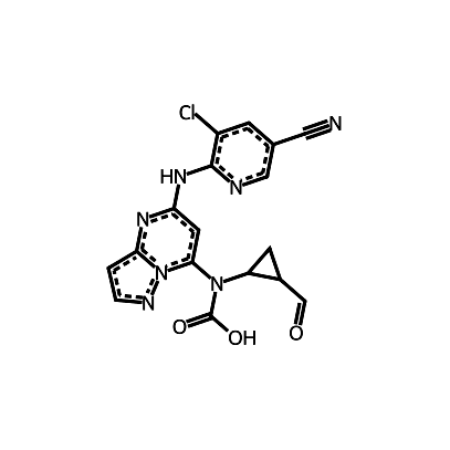 N#Cc1cnc(Nc2cc(N(C(=O)O)C3CC3C=O)n3nccc3n2)c(Cl)c1